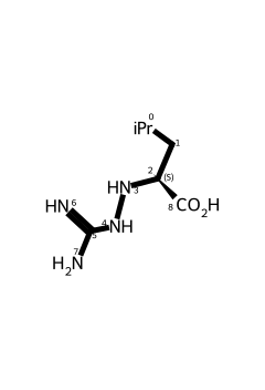 CC(C)C[C@H](NNC(=N)N)C(=O)O